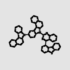 c1ccc2c(c1)ccc1c2c2ccccc2n1-c1ccc2c(c1)c1c3ccccc3ccc1n2-c1nc(-c2cccc3sc4ccccc4c23)c2ccccc2n1